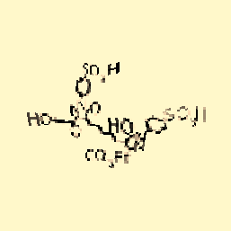 CCOC(=O)c1nn(-c2ccc(S(=O)(=O)O)cc2)c(O)c1C=CC=C/C=C1\C(=O)N(c2ccc(S(=O)(=O)O)cc2)N=C1C(=O)C#CO